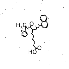 CN(C(=O)/C(=C/CCCCC(=O)O)COc1cccc2ccccc12)c1cccs1